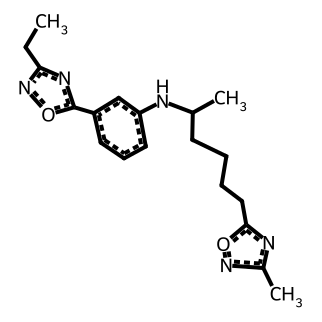 CCc1noc(-c2cccc(NC(C)CCCCc3nc(C)no3)c2)n1